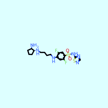 N[C@@H]1CCC[C@H]1NCCCCNc1cc(F)c(S(=O)(=O)Nc2ncns2)cc1F